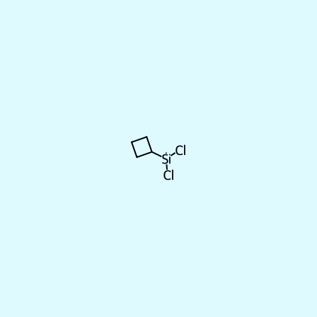 Cl[Si](Cl)C1CCC1